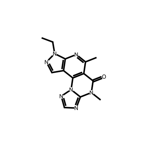 CCn1ncc2c1nc(C)c1c(=O)n(C)c3ncnn3c12